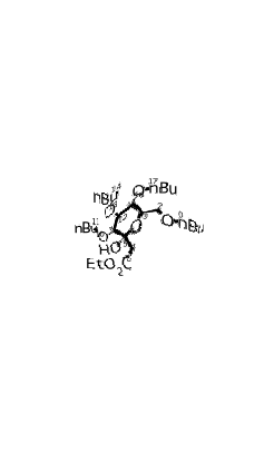 CCCCOC[C@H]1O[C@@](O)(CC(=O)OCC)[C@H](OCCCC)[C@@H](OCCCC)[C@@H]1OCCCC